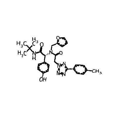 Cc1ccc(-c2nnn(CC(=O)N(Cc3ccco3)[C@@H](C(=O)NC(C)(C)C)c3ccc(O)cc3)n2)cc1